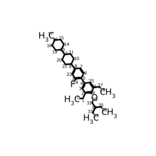 CCc1cc(-c2ccc(C3CCC(C4CCC(C)CC4)CC3)cc2F)cc(CC)c1OCC(CC)CC